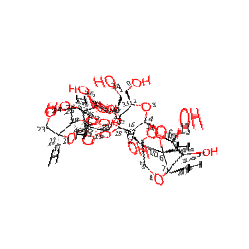 OC[C@H]1O[C@@H](O[C@@H]2[C@H]3OC[C@@H]2O[C@@H](O)[C@H]3O)[C@H](O)[C@@H](O[C@@H]2O[C@H]3CO[C@@H]([C@@H]2O)[C@H]3O[C@@]23O[C@H](CO)[C@H](O)[C@H](O)[C@@]2(O)O3)[C@@H]1O